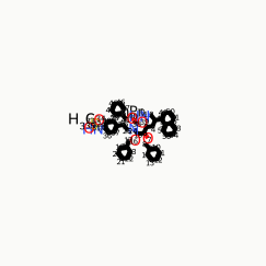 CCCNCC(CCC(OCc1ccccc1)C(OCc1ccccc1)N(CCc1ccc(NS(C)(=O)=O)cc1)C(=O)OCc1ccccc1)c1cccc2ccccc12